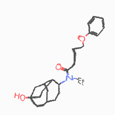 CCN(C(=O)CCCOc1ccccc1)C1CCC2CC3CC(O)(C2)CC31